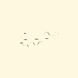 O=C(O)Nc1nn(-c2cc(Cl)c(Oc3cc(C4CCOC4)c(Cl)nn3)c(Cl)c2)c(=O)[nH]c1=O